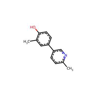 Cc1ccc(-c2ccc(O)c(C)c2)cn1